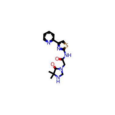 CC1(C)NCN(CC(=O)Nc2nc(-c3ccccn3)cs2)C1=O